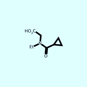 CCN(CC(=O)O)C(=O)C1CC1